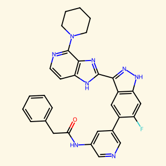 O=C(Cc1ccccc1)Nc1cncc(-c2cc3c(-c4nc5c(N6CCCCC6)nccc5[nH]4)n[nH]c3cc2F)c1